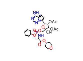 CC(=O)O[C@H]1[C@H](c2ccc3c(N)ncnn23)O[C@](C#N)(COP(=O)(N[C@@H](C)C(=O)OC2CCOCC2)Oc2ccccc2)[C@H]1OC(C)=O